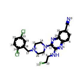 N#Cc1ccc2nc(NCCF)c(N3CCN(Cc4cc(Cl)ccc4Cl)CC3)nc2c1